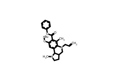 C=CCN1CC2CCN(C)C2c2cc(OCCCC)c(C(=O)Oc3ccccc3)c(C)c21